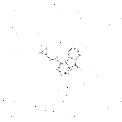 O=C1c2ccccc2-c2c(OCC3CO3)cccc21